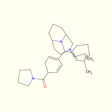 C=CCN1CCC2CCCC(C1)N2C(C1=CCC(C(=O)N2CCCC2)C=C1)C1=CC(C)=CCC1